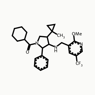 COc1ncc(C(F)(F)F)cc1CNC1C(c2ccccc2)N(C(=O)C2CCCCC2)CC1C1(C)CC1